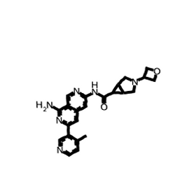 Cc1ccncc1-c1cc2cc(NC(=O)C3C4CN(C5COC5)CC43)ncc2c(N)n1